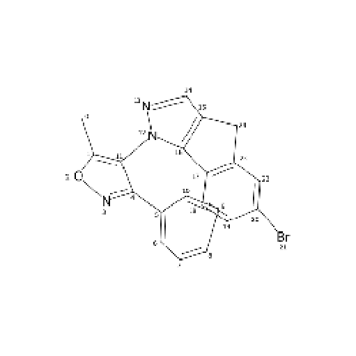 Cc1onc(-c2ccccc2)c1-n1ncc2c1-c1ccc(Br)cc1C2